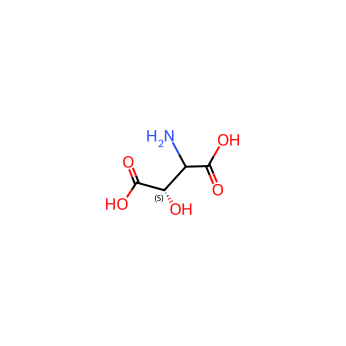 NC(C(=O)O)[C@H](O)C(=O)O